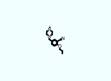 CCCOc1ccc(CN2CCN(C)CC2)cc1C#N